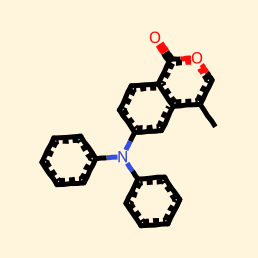 Cc1coc(=O)c2ccc(N(c3ccccc3)c3ccccc3)cc12